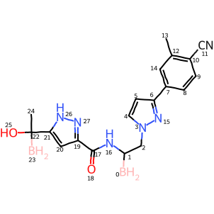 BC(Cn1ccc(-c2ccc(C#N)c(C)c2)n1)NC(=O)c1cc(C(B)(C)O)[nH]n1